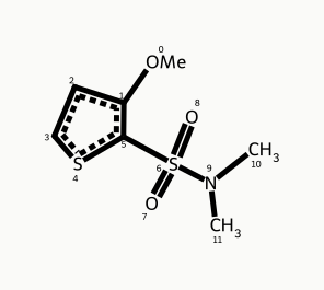 COc1ccsc1S(=O)(=O)N(C)C